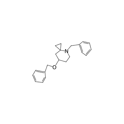 c1ccc(COC2CCN(Cc3ccccc3)C3(CC3)C2)cc1